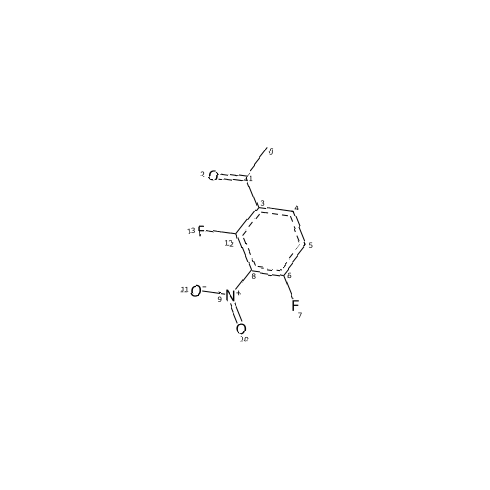 CC(=O)c1ccc(F)c([N+](=O)[O-])c1F